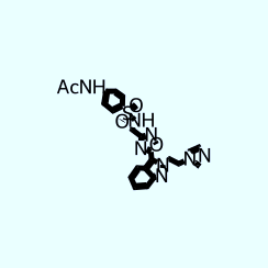 CC(=O)Nc1ccc(S(=O)(=O)NCc2noc(-c3c4ccccc4nn3CCn3ccnc3)n2)cc1